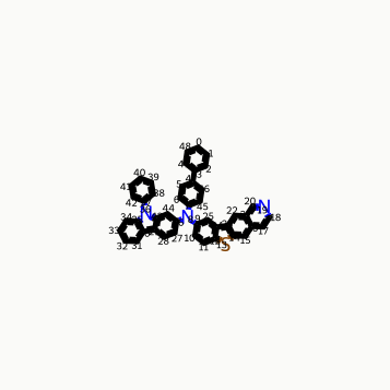 c1ccc(-c2ccc(N(c3ccc4sc5cc6ccncc6cc5c4c3)c3ccc4c5ccccc5n(-c5ccccc5)c4c3)cc2)cc1